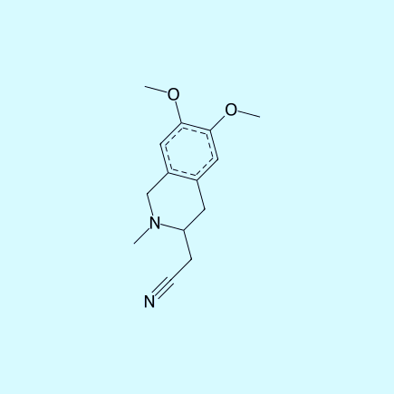 COc1cc2c(cc1OC)CN(C)C(CC#N)C2